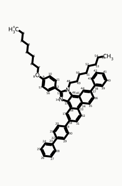 CCCCCCCCOc1ccc(-c2nc3c4cc(-c5ccc(-c6ccccc6)cc5)ccc4c4ccc(-c5ccccc5)cc4c3n2CCCCCCCC)cc1